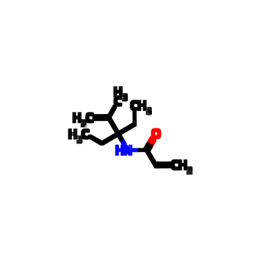 C=CC(=O)NC(CC)(CC)C(=C)C